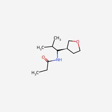 CCC(=O)NC(C(C)C)[C@@H]1CCOC1